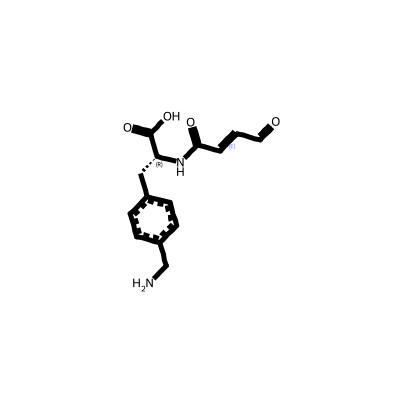 NCc1ccc(C[C@@H](NC(=O)/C=C/C=O)C(=O)O)cc1